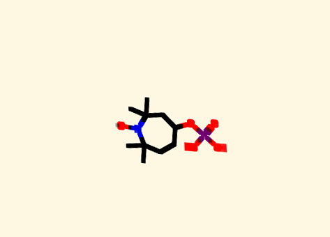 CC1(C)CCC(OP(=O)(O)O)CC(C)(C)N1[O]